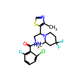 Cc1ncsc1C(CNC(=O)c1c(F)cccc1Cl)N1CCC(F)(F)CC1C